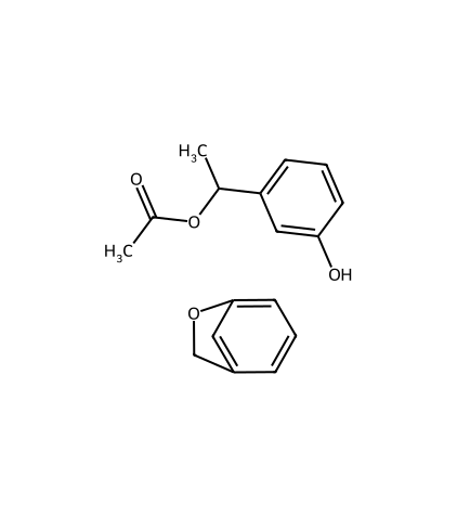 CC(=O)OC(C)c1cccc(O)c1.c1cc2cc(c1)OC2